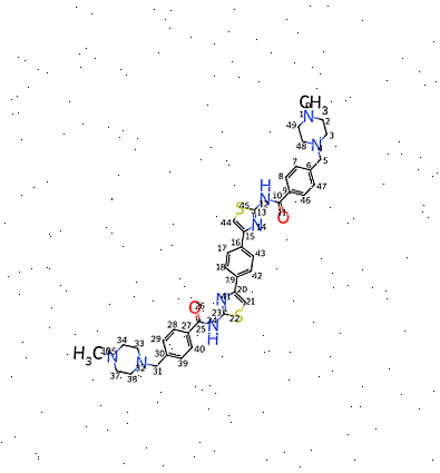 CN1CCN(Cc2ccc(C(=O)Nc3nc(-c4ccc(-c5csc(NC(=O)c6ccc(CN7CCN(C)CC7)cc6)n5)cc4)cs3)cc2)CC1